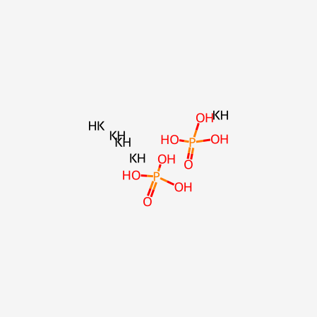 O=P(O)(O)O.O=P(O)(O)O.[KH].[KH].[KH].[KH].[KH]